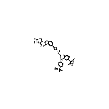 Cc1ccc(-c2c(C)noc2C)cc1N(CCCOC1CN(c2ccc3c(c2)C(=O)N(C2CCC(=O)NC2=O)C3)C1)c1ccc(C2(C#N)CC2)cc1